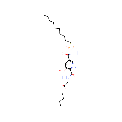 CCCCCCCCCCS(=O)(=O)NC(=O)c1cnc(C(=O)NCC(=O)OCCCC)c(OC)c1